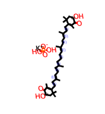 CC1=C(/C=C/C(C)=C/C=C/C(C)=C/C=C/C=C(C)/C=C/C=C(C)/C=C/C2=C(C)C(=O)[C@@H](O)CC2(C)C)C(C)(C)C[C@H](O)C1=O.O=P([O-])(O)O.[K+]